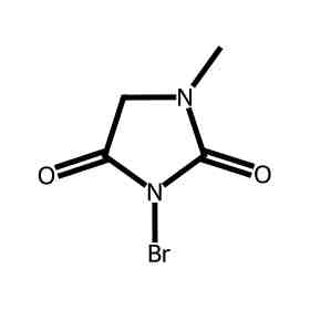 CN1CC(=O)N(Br)C1=O